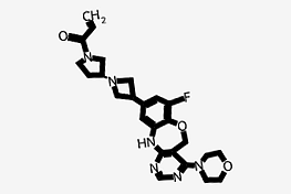 C=CC(=O)N1CC[C@@H](N2CC(c3cc(F)c4c(c3)Nc3ncnc(N5CCOCC5)c3CO4)C2)C1